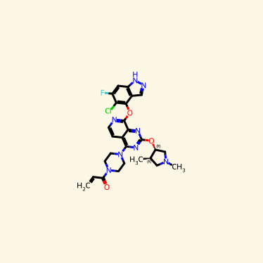 C=CC(=O)N1CCN(c2nc(O[C@H]3CN(C)C[C@H]3C)nc3c(Oc4c(Cl)c(F)cc5[nH]ncc45)nccc23)CC1